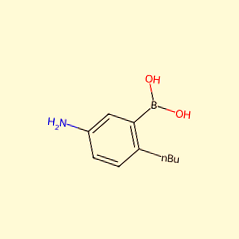 CCCCc1ccc(N)cc1B(O)O